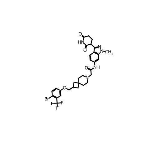 Cn1nc(C2CCC(=O)NC2=O)c2ccc(NC(=O)CN3CCC4(CC3)CC(COc3ccc(Br)c(C(F)(F)F)c3)C4)cc21